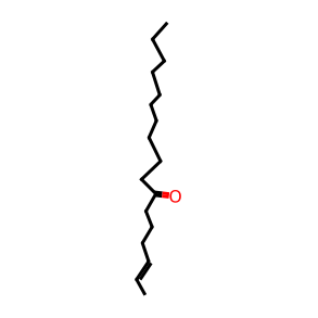 C/C=C/CCCC(=O)CCCCCCCCCC